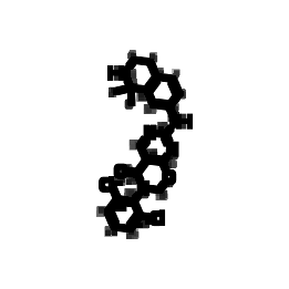 CC1(C)NCCc2ccc(Nc3ncc4c(n3)OCN(c3c(Cl)cccc3Cl)C4=O)cc21